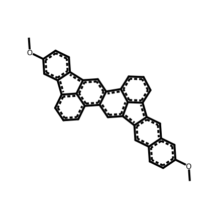 COc1ccc2cc3c(cc2c1)c1cccc2c4cc5c6ccc(OC)cc6c6cccc(c4cc3c12)c65